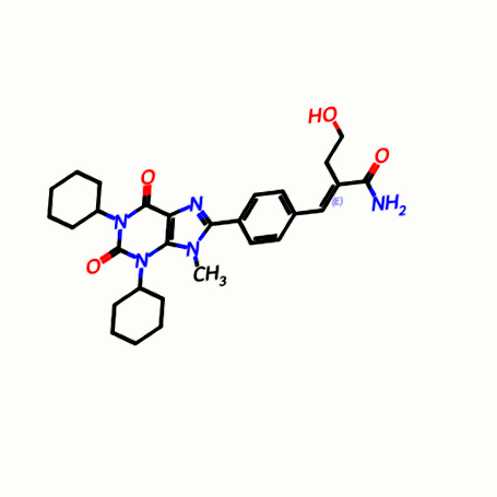 Cn1c(-c2ccc(/C=C(\CCO)C(N)=O)cc2)nc2c(=O)n(C3CCCCC3)c(=O)n(C3CCCCC3)c21